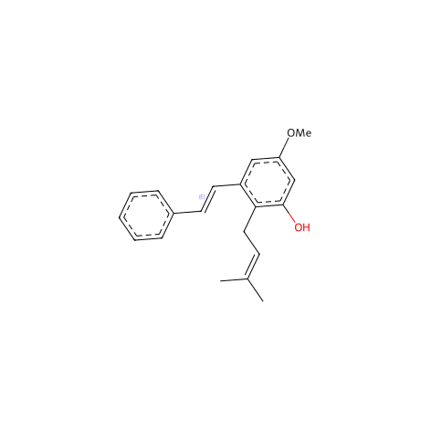 COc1cc(O)c(CC=C(C)C)c(/C=C/c2ccccc2)c1